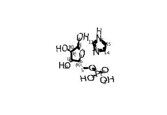 O=P(O)(O)OC[C@H]1OC(O)[C@H](O)[C@@H]1O.c1c[nH]cn1